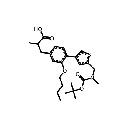 CCCCOc1cc(CC(C)C(=O)O)ccc1-c1csc(CN(C)C(=O)OC(C)(C)C)c1